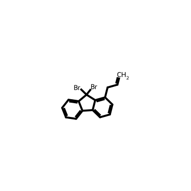 C=CCc1cccc2c1C(Br)(Br)c1ccccc1-2